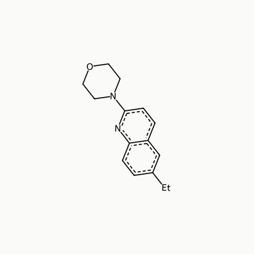 CCc1ccc2nc(N3CCOCC3)ccc2c1